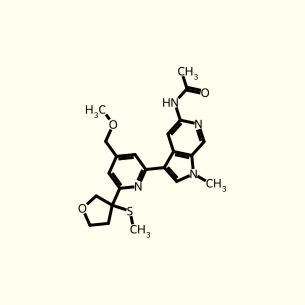 COCc1cc(-c2cn(C)c3cnc(NC(C)=O)cc23)nc(C2(SC)CCOC2)c1